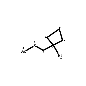 CCC1(CSC(C)=O)CCC1